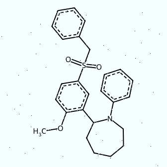 COc1ccc(S(=O)(=O)Cc2ccccc2)cc1C1CC[CH]CCN1c1ccccc1